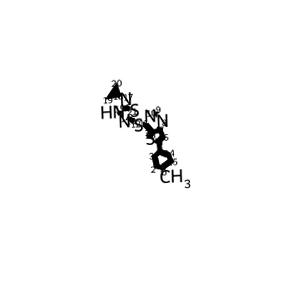 Cc1ccc(-c2cc3ncnc(Sc4n[nH]/c(=N\C5CC5)s4)c3s2)cc1